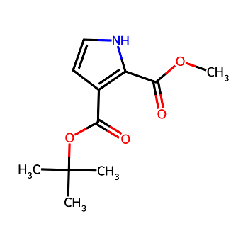 COC(=O)c1[nH]ccc1C(=O)OC(C)(C)C